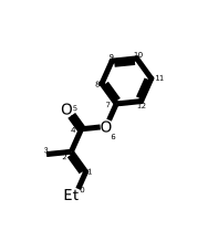 CCC=C(C)C(=O)Oc1ccccc1